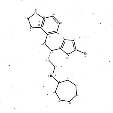 Brc1ccc([C@H](CCNC2CCCCCC2)Oc2cccc3c2OCO3)s1